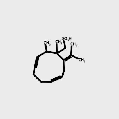 CC(C)=C1CC=CCCC=CC(C)C1(C)CS(=O)(=O)O